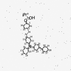 CC(C)C(O)Oc1ccc(CCc2ccc(N(c3ccccc3)c3ccc(-c4ccccc4)cc3)cc2)cc1